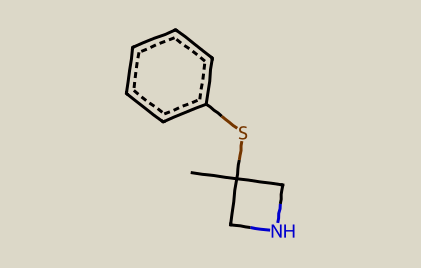 CC1(Sc2ccccc2)CNC1